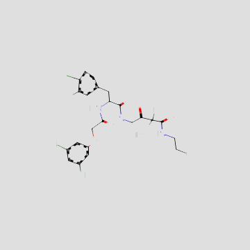 CC(C)[C@H](NC(=O)C(Cc1ccc(F)c(F)c1)NC(=O)COc1cc(Cl)cc(Cl)c1)C(=O)C(F)(F)C(=O)NCCC(F)(F)F